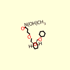 CN(O)C(=O)CCCOCC[C@H]1[C@@H](COC2CCCCC2)[C@H]2CC[C@@H]1O2